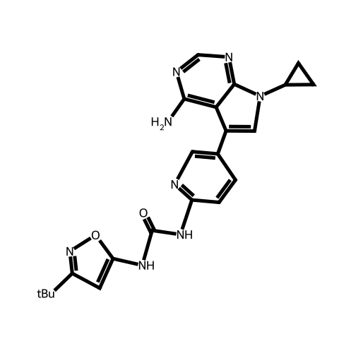 CC(C)(C)c1cc(NC(=O)Nc2ccc(-c3cn(C4CC4)c4ncnc(N)c34)cn2)on1